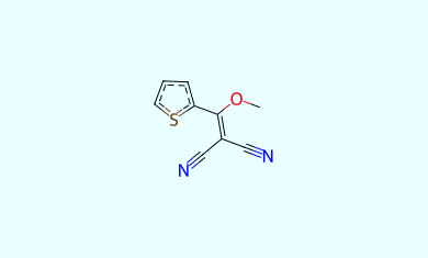 COC(=C(C#N)C#N)c1cccs1